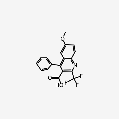 COc1ccc2nc(C(F)(F)F)c(C(=O)O)c(-c3ccccc3)c2c1